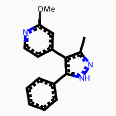 COc1cc(-c2c(C)n[nH]c2-c2ccccc2)ccn1